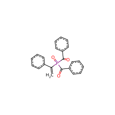 C=C(c1ccccc1)P(=O)(C(=O)c1ccccc1)C(=O)c1ccccc1